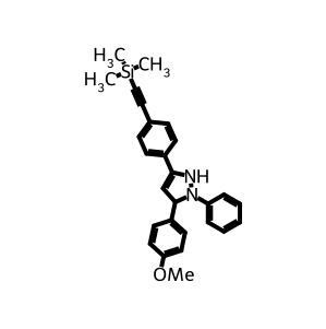 COc1ccc(C2C=C(c3ccc(C#C[Si](C)(C)C)cc3)NN2c2ccccc2)cc1